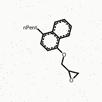 CCCCCc1ccc(OCC2CO2)c2ccccc12